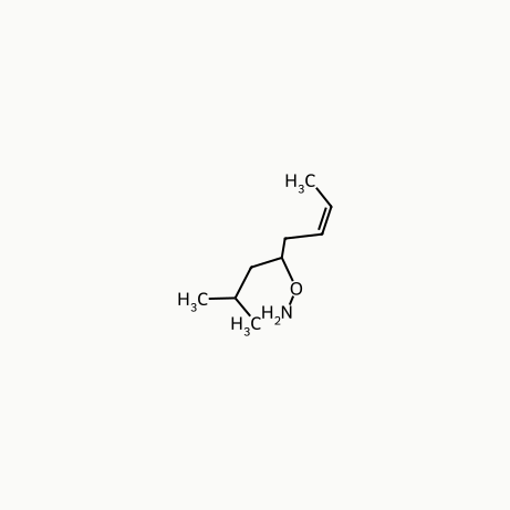 C/C=C\CC(CC(C)C)ON